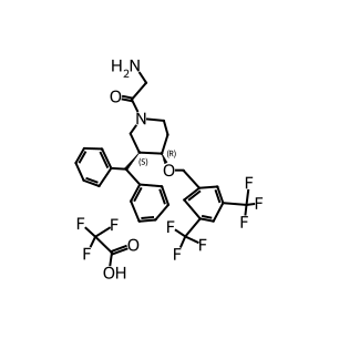 NCC(=O)N1CC[C@@H](OCc2cc(C(F)(F)F)cc(C(F)(F)F)c2)[C@@H](C(c2ccccc2)c2ccccc2)C1.O=C(O)C(F)(F)F